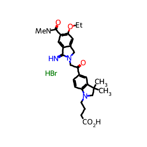 Br.CCOc1cc2c(cc1C(=O)NC)C(=N)N(CC(=O)c1ccc3c(c1)C(C)(C)CN3CCCC(=O)O)C2